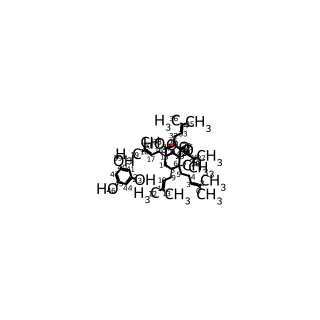 CC(C)=CCC[C@]1(C)[C@@H](CC=C(C)C)C[C@@]2(CC=C(C)C)C(=O)[C@]1(C(=O)C(C)C)C(=O)C(CC=C(C)C)=C2O.Oc1cc(O)cc(O)c1